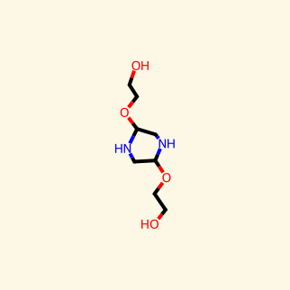 OCCOC1CNC(OCCO)CN1